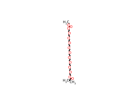 C=COC(=O)OCCOCCOCCOCCOCCOCCOCCOCCOCCOCCOC(=O)C(=C)C